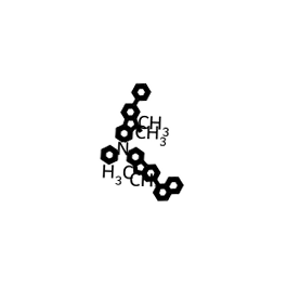 CC1(C)c2cc(-c3ccccc3)ccc2-c2ccc(N(c3ccccc3)c3ccc4c(c3)C(C)(C)c3cc(-c5cccc6ccccc56)ccc3-4)cc21